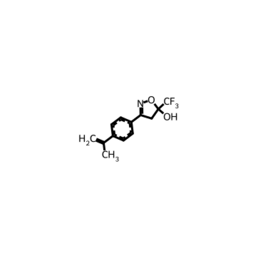 C=C(C)c1ccc(C2=NOC(O)(C(F)(F)F)C2)cc1